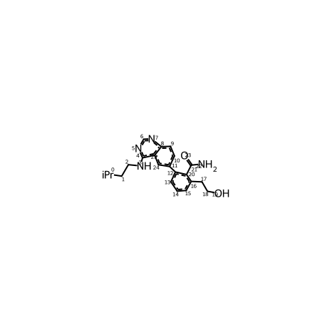 CC(C)CCNc1ncnc2ccc(-c3cccc(CCO)c3C(N)=O)cc12